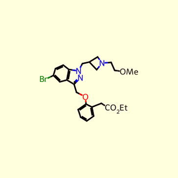 CCOC(=O)Cc1ccccc1OCc1nn(CC2CN(CCOC)C2)c2ccc(Br)cc12